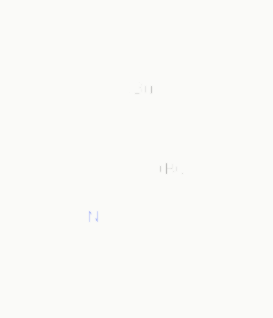 CC(C)(C)CCCC(c1cccnc1)C(C)(C)C